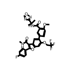 CNC(=O)c1c(-c2ccc(F)cc2)oc2cc(OCC(F)(F)F)c(-c3ccc(OC)c(C(=O)NC(C)(C)c4ncon4)c3)cc12